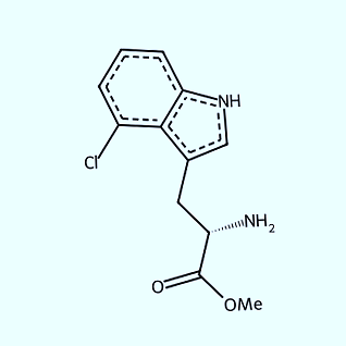 COC(=O)[C@@H](N)Cc1c[nH]c2cccc(Cl)c12